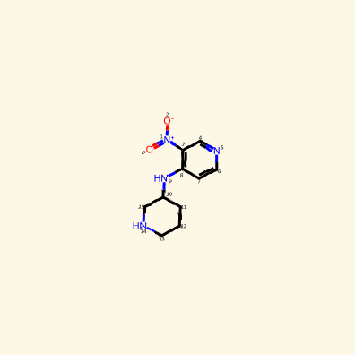 O=[N+]([O-])c1cnccc1NC1CCCNC1